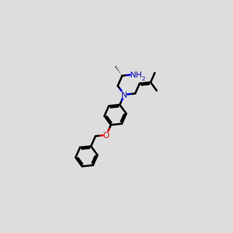 CC(C)=CCN(C[C@H](C)N)c1ccc(OCc2ccccc2)cc1